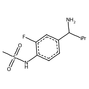 CC(C)C(N)c1ccc(NS(C)(=O)=O)c(F)c1